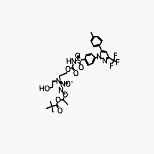 Cc1ccc(-c2cc(C(F)(F)F)nn2-c2ccc(S(=O)(=O)NC(=O)OCCN(CCO)/[N+]([O-])=N/OC(C)OC(=O)C(C)(C)C)cc2)cc1